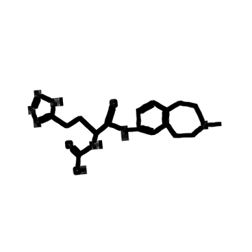 CN1CCc2ccc(NC(=O)C(CCc3nnn[nH]3)NC(=O)O)cc2CC1